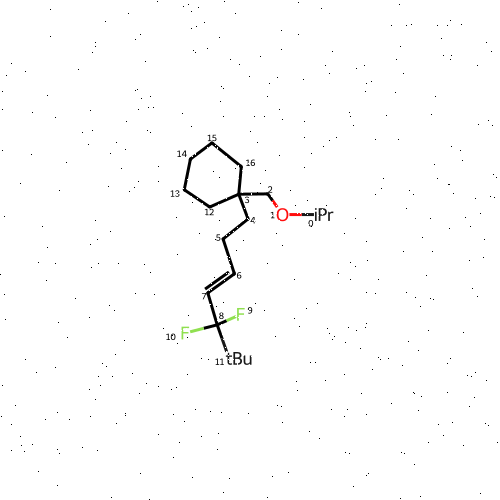 CC(C)OCC1(CC/C=C/C(F)(F)C(C)(C)C)CCCCC1